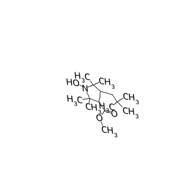 COC(=O)C1C(CC(C)(C)C)C(C)(C)N(O)C1(C)C